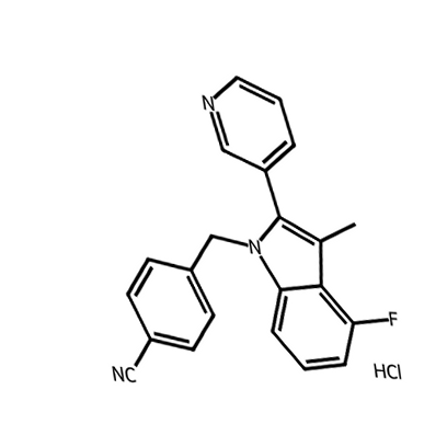 Cc1c(-c2cccnc2)n(Cc2ccc(C#N)cc2)c2cccc(F)c12.Cl